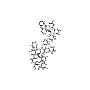 Cc1cc2c3c(c1)-n1c4ccccc4c4cccc(c41)B3n1c3cc(-c4cccc(N(c5ccccc5)c5cc6c7c(c5)-n5c8ccccc8c8cccc(c85)B7N5c7ccccc7C(c7ccccc7)(c7ccccc7)c7cccc-6c75)c4)ccc3c3cccc-2c31